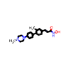 Cc1cc(/C=C/C(=O)NO)ccc1-c1ccc(N2CCN(C)CC2)cc1